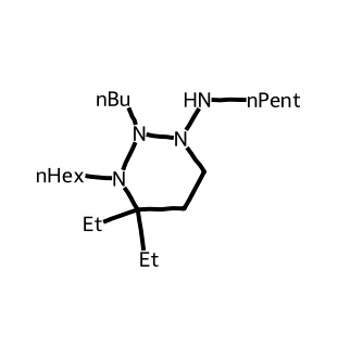 CCCCCCN1N(CCCC)N(NCCCCC)CCC1(CC)CC